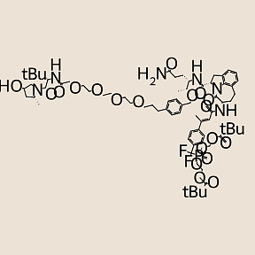 C/C(=C\C(=O)N[C@H]1CCc2cccc3c2N(C1=O)[C@H](C(=O)N[C@@H](CCC(N)=O)[C@@H](C)OCc1ccc(CCCOCCOCCOCCOCC(=O)N[C@H](C(=O)N2C[C@H](O)C[C@H]2C)C(C)(C)C)cc1)C3)c1ccc(C(F)(F)P(=O)(OCOC(=O)C(C)(C)C)OCOC(=O)C(C)(C)C)cc1